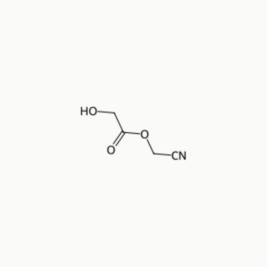 N#CCOC(=O)CO